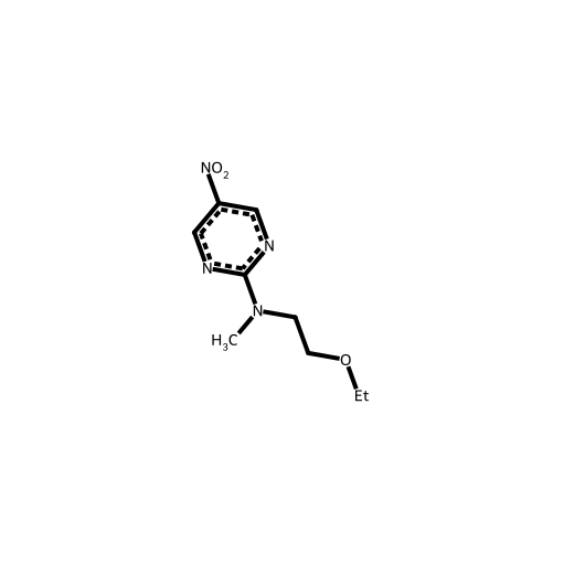 CCOCCN(C)c1ncc([N+](=O)[O-])cn1